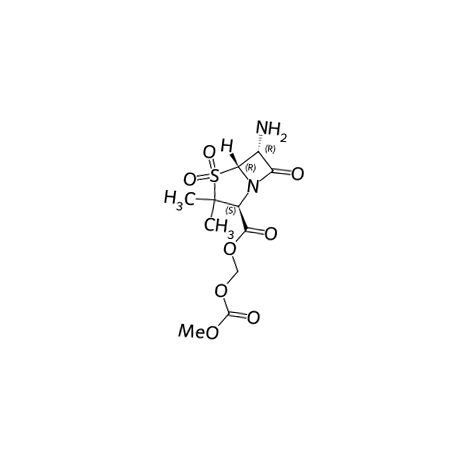 COC(=O)OCOC(=O)[C@@H]1N2C(=O)[C@@H](N)[C@H]2S(=O)(=O)C1(C)C